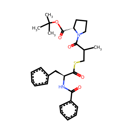 CC(CSC(=O)[C@H](Cc1ccccc1)NC(=O)c1ccccc1)C(=O)N1CCC[C@H]1C(=O)OC(C)(C)C